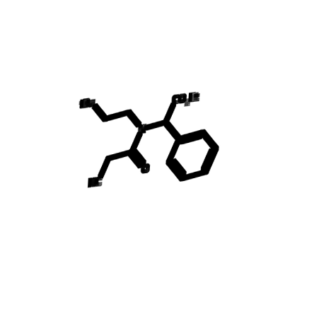 CCOC(=O)C(c1ccccc1)N(CCC(C)(C)C)C(=O)CC#N